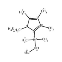 CC1=C(C)C(C)[C]([Hf]([CH3])([CH3])[NH]C(C)(C)C)=C1C.[SiH4]